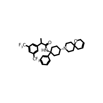 CC(C(=O)N[C@]1(c2ccccc2)CC[C@@H](N2CCC3(CC=CCO3)CC2)CC1)c1cc(C(F)(F)F)cc(C(F)(F)F)c1